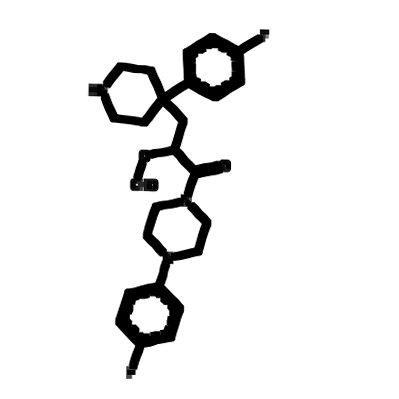 O=COC(CC1(c2ccc(F)cc2)CCNCC1)C(=O)N1CCN(c2ccc(F)cc2)CC1